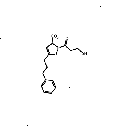 O=C(O)[C@@H]1C=C(CCCc2ccccc2)CN1C(=O)CCS